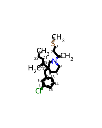 C=C(CCSC)N1CCCC(Cc2cccc(Cl)c2)(C(=C)CCC)C1